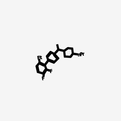 CCCC1CCC(C(C)c2ccc(-c3c(CC)ccc(F)c3F)cc2)CC1